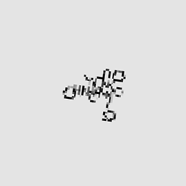 CCN1CC(=O)N2[C@@H](c3ccccc3)C(=O)N(CCC3CC=CS3)C[C@@H]2N1C(=O)NCc1ccccc1